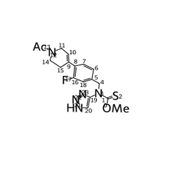 COC(=S)N(Cc1ccc(C2=CCN(C(C)=O)CC2)c(F)c1)c1c[nH]nn1